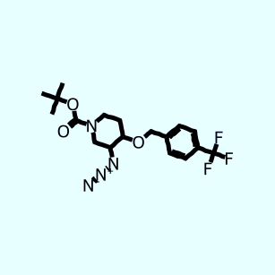 CC(C)(C)OC(=O)N1CCC(OCc2ccc(C(F)(F)F)cc2)C(N=[N+]=[N-])C1